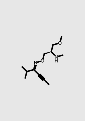 CC#C/C(=N\OC[C@@H](COC)NC)C(C)C